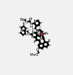 COCOc1cc(-c2nc3c4c(nc(OC[C@@]56CCCN5C[C@H](F)C6)nc4c2F)N([C@H](C)c2cccnc2NC(=O)OC(C)(C)C)CCO3)c2c(C#C[Si](C(C)C)(C(C)C)C(C)C)c(F)ccc2c1